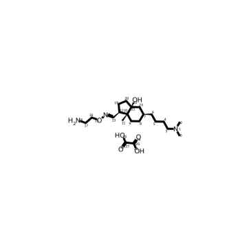 CN(C)CCCC[C@H]1CC[C@]2(C)[C@@H](C=NOCCN)CC[C@]2(O)C1.O=C(O)C(=O)O